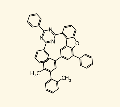 Cc1ccccc1-c1cc(-c2cc(-c3ccccc3)c3oc4cccc(-c5nc(-c6ccccc6)nc(-c6ccccc6)n5)c4c3c2)ccc1C